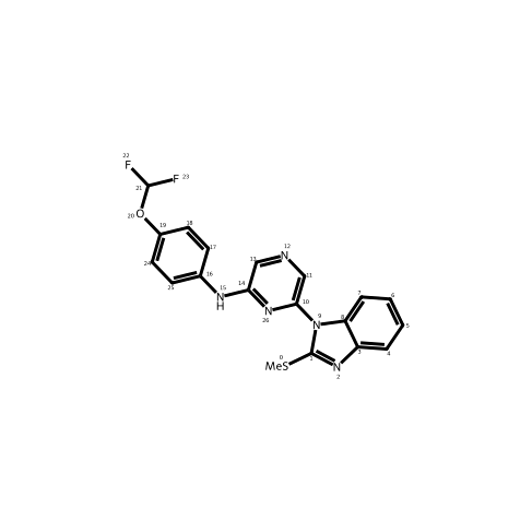 CSc1nc2ccccc2n1-c1cncc(Nc2ccc(OC(F)F)cc2)n1